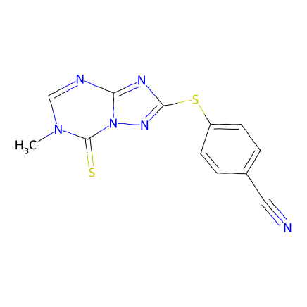 Cn1cnc2nc(Sc3ccc(C#N)cc3)nn2c1=S